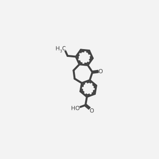 CCc1cccc2c1CCc1cc(C(=O)O)ccc1C2=O